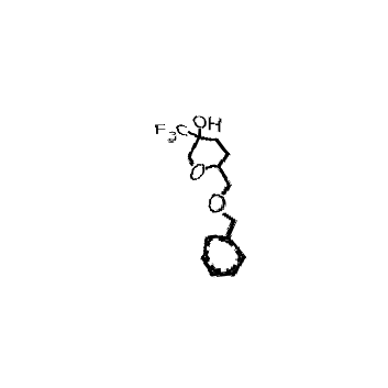 OC1(C(F)(F)F)CCC(COCc2ccccc2)OC1